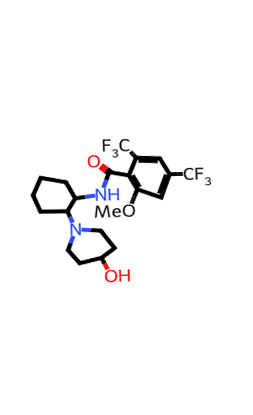 COc1cc(C(F)(F)F)cc(C(F)(F)F)c1C(=O)NC1CCCCC1N1CCC(O)CC1